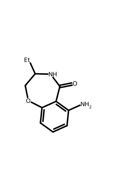 CCC1COc2cccc(N)c2C(=O)N1